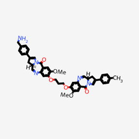 COc1cc2c(cc1OCCCOc1cc3c(cc1OC)C(=O)N1C=C(c4ccc(CN)cc4)C[C@H]1C=N3)N=C[C@@H]1CC(c3ccc(C)cc3)=CN1C2=O